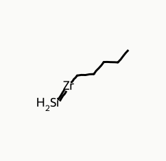 CCCC[CH2][Zr]=[SiH2]